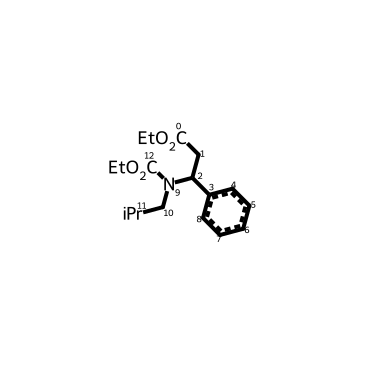 CCOC(=O)CC(c1ccccc1)N(CC(C)C)C(=O)OCC